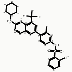 Cc1nc(NS(=O)(=O)c2ccccc2Cl)ccc1-c1cc(C(C)(F)F)c2nc(NC3CCCCC3)ncc2c1